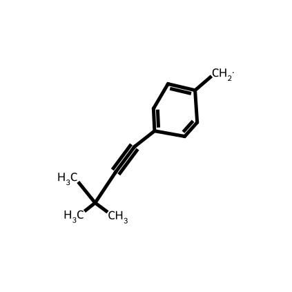 [CH2]c1ccc(C#CC(C)(C)C)cc1